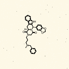 CN(CCCN1CC(=O)N2[C@H](c3ccc4c(c3)OCO4)c3[nH]c4ccccc4c3C[C@@H]2C1=O)Cc1ccccc1